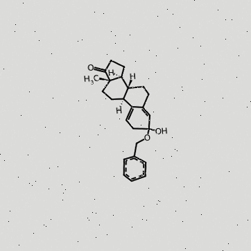 C[C@]12CC[C@@H]3C4=CCC(O)(OCc5ccccc5)C=C4CC[C@H]3[C@@H]1CCC2=O